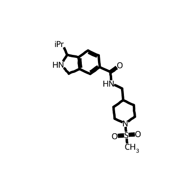 CC(C)C1NCc2cc(C(=O)NCC3CCN(S(C)(=O)=O)CC3)ccc21